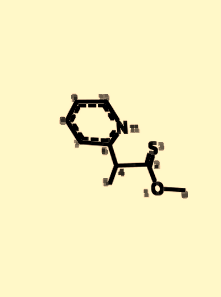 COC(=S)C(C)c1ccccn1